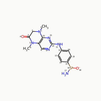 CN1CC(=O)N(C)c2cnc(Nc3ccc([S+](N)[O-])cc3)nc21